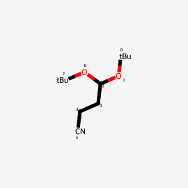 CC(C)(C)OC(CCC#N)OC(C)(C)C